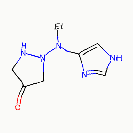 CCN(c1c[nH]cn1)N1CC(=O)CN1